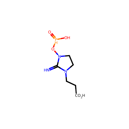 N=C1N(CCC(=O)O)CCN1O[PH](=O)O